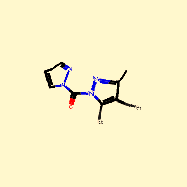 CCc1c(C(C)C)c(C)nn1C(=O)n1cccn1